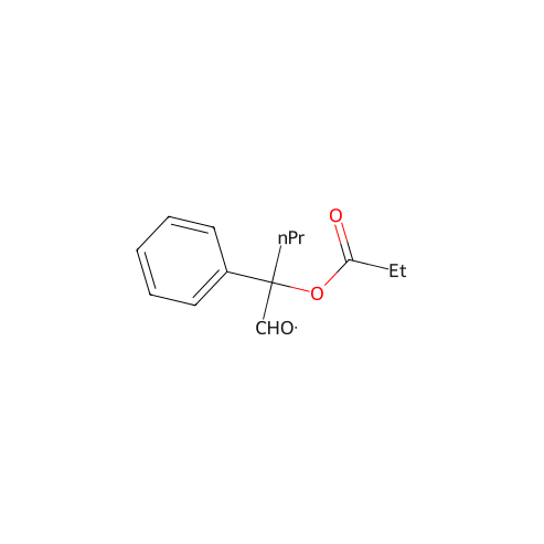 CCCC([C]=O)(OC(=O)CC)c1ccccc1